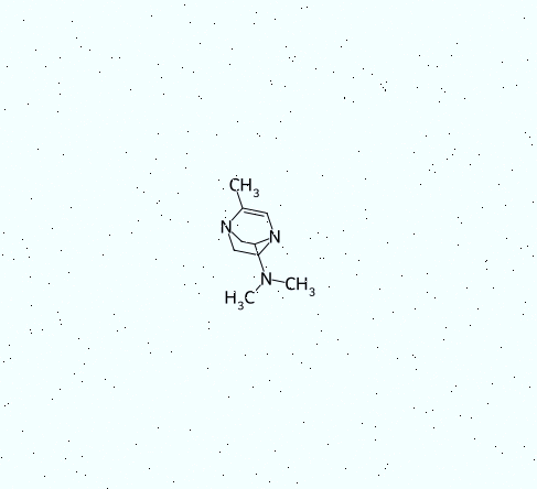 CC1=CN2CCN1CC2N(C)C